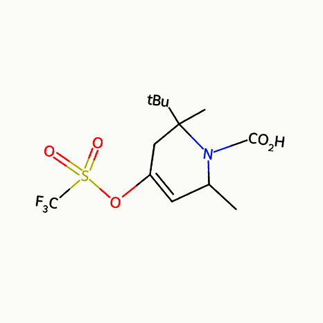 CC1C=C(OS(=O)(=O)C(F)(F)F)CC(C)(C(C)(C)C)N1C(=O)O